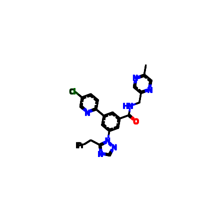 Cc1cnc(CNC(=O)c2cc(-c3ccc(Cl)cn3)cc(-n3ncnc3CC(C)C)c2)cn1